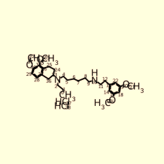 CCCN(CCCCCCNCCc1cc(OC)cc(OC)c1)C1CCc2c(ccc(OC)c2OC)C1.Cl.Cl